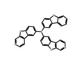 c1ccc2c(c1)sc1ccc(N(c3ccc4oc5cnccc5c4c3)c3ccc4oc5cnccc5c4c3)cc12